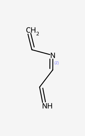 C=C/N=C\C=N